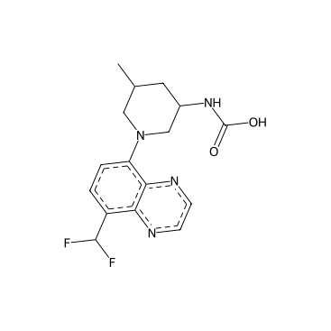 CC1CC(NC(=O)O)CN(c2ccc(C(F)F)c3nccnc23)C1